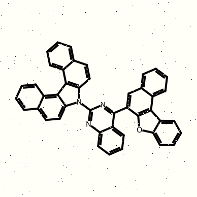 c1ccc2c(c1)cc(-c1nc(-n3c4ccc5ccccc5c4c4c5ccccc5ccc43)nc3ccccc13)c1oc3ccccc3c12